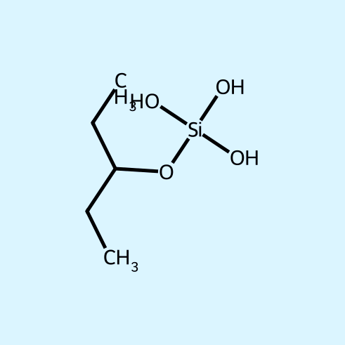 CCC(CC)O[Si](O)(O)O